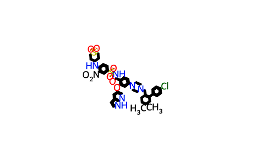 CC1(C)CCC(CN2CCN(c3ccc(C(=O)NS(=O)(=O)c4ccc(NC5CCS(=O)(=O)CC5)c([N+](=O)[O-])c4)c(Oc4cnc5[nH]ccc5c4)c3)CC2)=C(c2ccc(Cl)cc2)C1